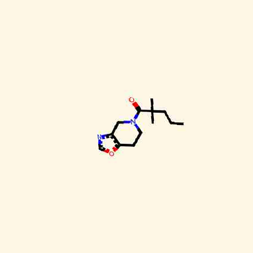 CCCC(C)(C)C(=O)N1CCc2ocnc2C1